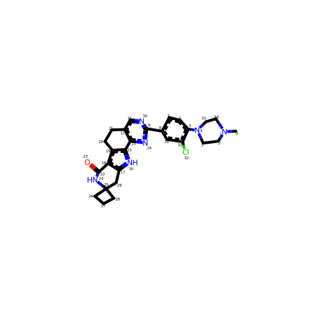 CN1CCN(c2ccc(-c3ncc4c(n3)-c3[nH]c5c(c3CC4)C(=O)NC3(CCC3)C5)cc2Cl)CC1